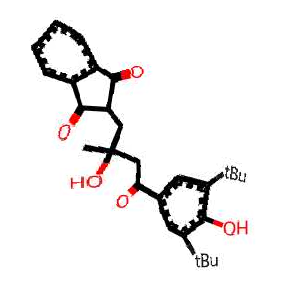 CC(O)(CC(=O)c1cc(C(C)(C)C)c(O)c(C(C)(C)C)c1)CC1C(=O)c2ccccc2C1=O